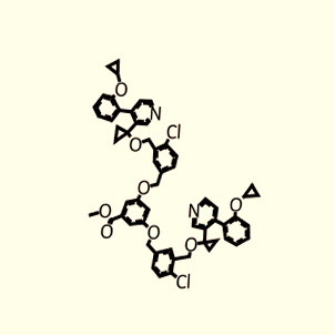 COC(=O)c1cc(OCc2ccc(Cl)c(COC3(c4cnccc4-c4ccccc4OC4CC4)CC3)c2)cc(OCc2ccc(Cl)c(COC3(c4cnccc4-c4ccccc4OC4CC4)CC3)c2)c1